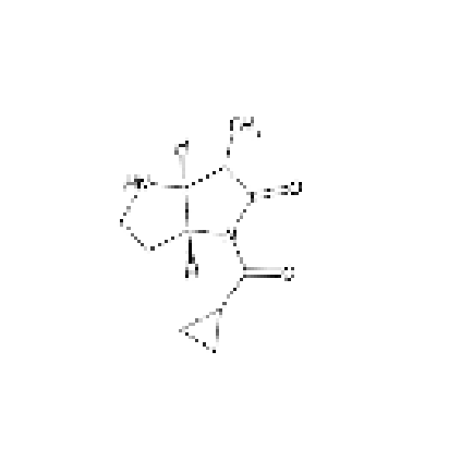 CC1C(=O)N(C(=O)C2CC2)[C@@H]2CCN[C@@H]12